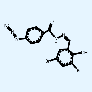 [N-]=[N+]=Nc1ccc(C(=O)N/N=C\c2cc(Br)cc(Br)c2O)cc1